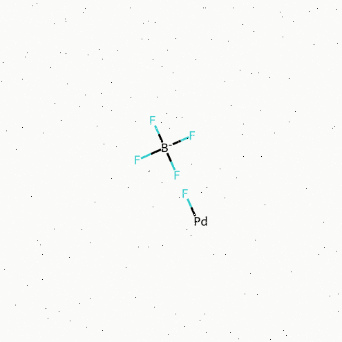 F[B-](F)(F)F.[F][Pd]